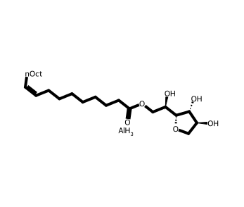 CCCCCCCC/C=C\CCCCCCCC(=O)OC[C@@H](O)[C@H]1OC[C@H](O)[C@H]1O.[AlH3]